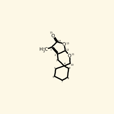 CC1=C2CC3(CCCCC3)COC2OC1=O